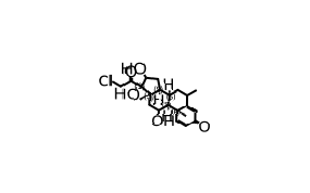 CC1C[C@@H]2[C@H](C(O)C[C@@]3(C)[C@H]2CC(O)[C@]3(O)C(=O)CCl)[C@@]2(C)C=CC(=O)C=C12